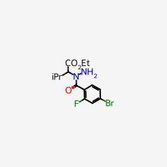 CCOC(=O)C(C(C)C)N(N)C(=O)c1ccc(Br)cc1F